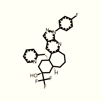 O[C@@]1(C(F)(F)F)CC[C@@]2(Cc3ccccn3)c3cc4cnn(-c5ccc(F)cc5)c4nc3CCC[C@H]2C1